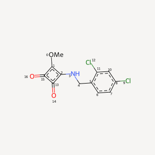 COc1c(NCc2ccc(Cl)cc2Cl)c(=O)c1=O